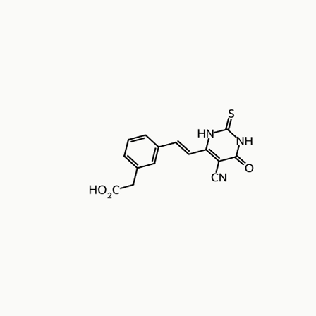 N#Cc1c(C=Cc2cccc(CC(=O)O)c2)[nH]c(=S)[nH]c1=O